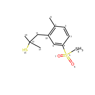 Cc1ccc(S(=O)(=O)[SiH3])cc1CC(C)(C)S